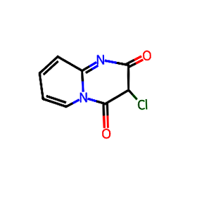 O=C1N=C2C=CC=CN2C(=O)C1Cl